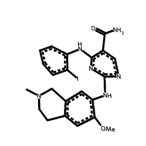 COc1cc2c(cc1Nc1ncc(C(N)=O)c(Nc3ccccc3I)n1)CN(C)CC2